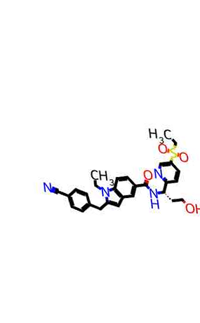 CCn1c(Cc2ccc(C#N)cc2)cc2cc(C(=O)N[C@@H](CCO)c3ccc(S(=O)(=O)CC)cn3)ccc21